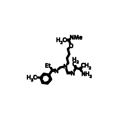 C=C(NC)OCCCCN(/C=N\C(=C)C(=C)N)C/N=C(\CC)c1cccc(C)c1